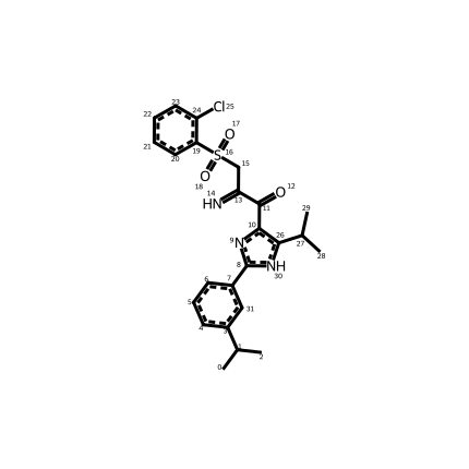 CC(C)c1cccc(-c2nc(C(=O)C(=N)CS(=O)(=O)c3ccccc3Cl)c(C(C)C)[nH]2)c1